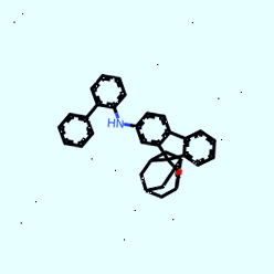 c1ccc(-c2ccccc2Nc2ccc3c(c2)C2(CC4CC5CC(C4)CC2C5)c2ccccc2-3)cc1